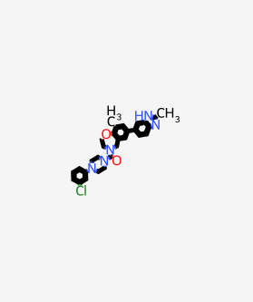 Cc1nc2ccc(-c3cc(C)c4c(c3)CN(C(=O)N3CCN(c5cccc(Cl)c5)CC3)CCO4)cc2[nH]1